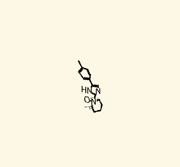 Cc1ccc(-c2cnc([N+]3([O-])CCCC[C@@H]3C)[nH]2)cc1